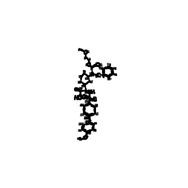 COCCOC(=O)N(Cc1ccccc1)C1CCCC(C(NS(=O)(=O)c2ccc(-c3ccc(OC)cc3)cc2)C(=O)O)C1